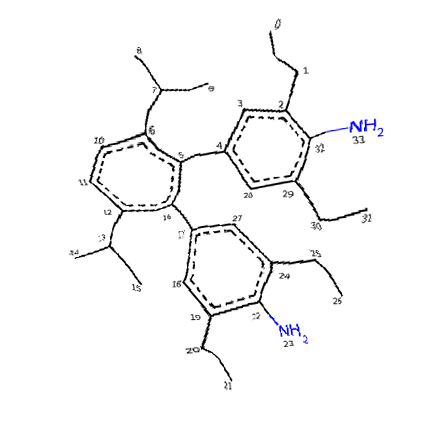 CCc1cc(-c2c(C(C)C)ccc(C(C)C)c2-c2cc(CC)c(N)c(CC)c2)cc(CC)c1N